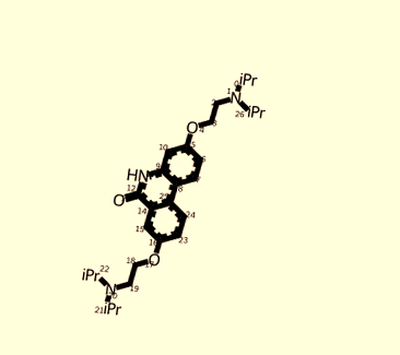 CC(C)N(CCOc1ccc2c(c1)[nH]c(=O)c1cc(OCCN(C(C)C)C(C)C)ccc12)C(C)C